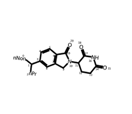 CCCCCCCCCC(CCC)c1ccc2c(c1)CN(C1CCC(=O)NC1=O)C2=O